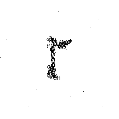 [2H]C([2H])([2H])Oc1ncc(-c2ccnc(N3CCn4c(cc5c4CC(C)(C)C5)C3=O)c2CO)cc1Nc1ccc(N2CCN(C3CCN(c4ccc5c(c4)C(=O)N([C@H]4CCC(=O)N(COP(=O)(O)O)C4=O)C5=O)CC3)C[C@@H]2C)cn1